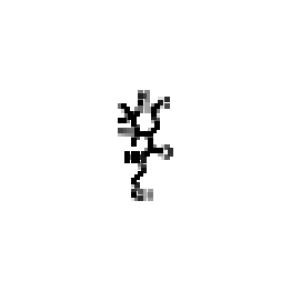 CC1(C)NC(=O)CC(C(=O)NCCO)C1(C)C